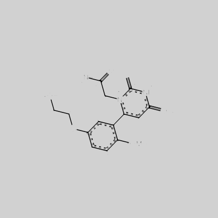 COc1ccc(OCCO)cc1-c1cc(=O)[nH]c(=S)n1CC(N)=O